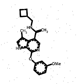 C=C(NCC1CCC1)c1cnc(Oc2cccc(OC)c2)c2[nH]cc(C)c12